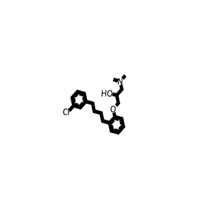 CN(C)CC(O)COc1ccccc1CCCCc1cccc(Cl)c1